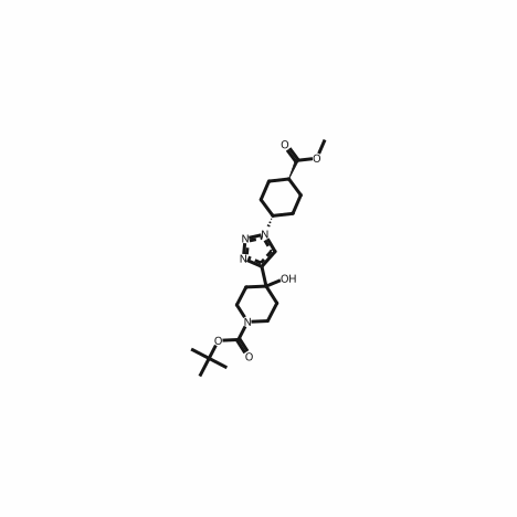 COC(=O)[C@H]1CC[C@H](n2cc(C3(O)CCN(C(=O)OC(C)(C)C)CC3)nn2)CC1